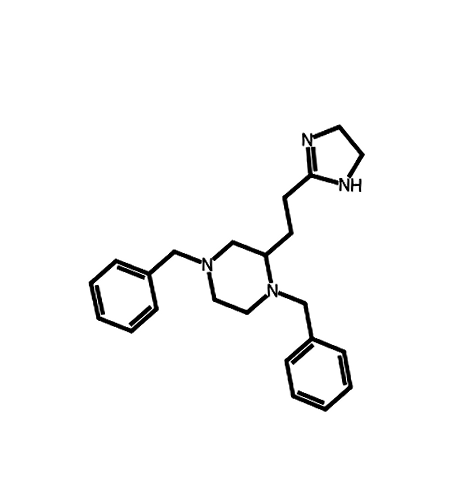 c1ccc(CN2CCN(Cc3ccccc3)C(CCC3=NCCN3)C2)cc1